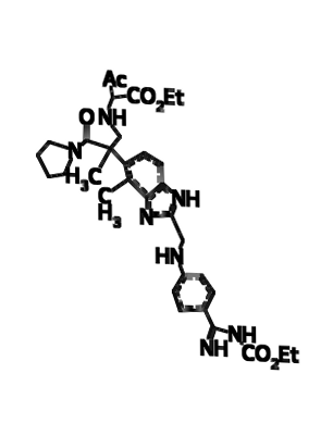 CCOC(=O)NC(=N)c1ccc(NCc2nc3c(C)c(C(C)(CNC(C(C)=O)C(=O)OCC)C(=O)N4CCCC4)ccc3[nH]2)cc1